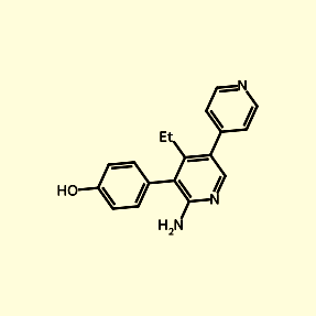 CCc1c(-c2ccncc2)cnc(N)c1-c1ccc(O)cc1